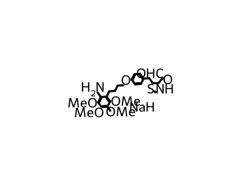 COc1c(CN)c(CCCCOc2ccc(CC3SCNC3C(=O)C=O)cc2)c(OC)c(OC)c1OC.[NaH]